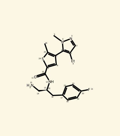 CCc1cnn(C)c1-c1cc(C(=O)N[C@H](CN)Cc2ccc(F)cc2)sc1C